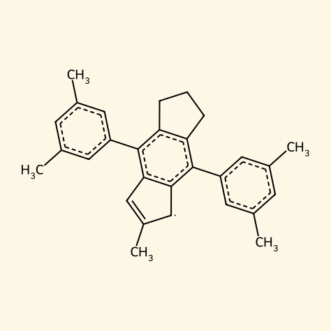 CC1=Cc2c(c(-c3cc(C)cc(C)c3)c3c(c2-c2cc(C)cc(C)c2)CCC3)[CH]1